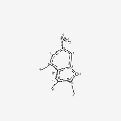 Cc1oc2cc(N)cc(C)c2c1C